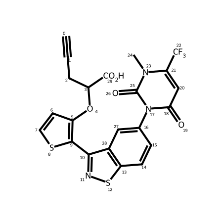 C#CCC(Oc1ccsc1-c1nsc2ccc(-n3c(=O)cc(C(F)(F)F)n(C)c3=O)cc12)C(=O)O